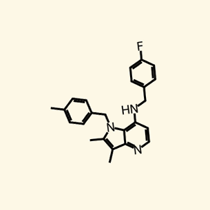 Cc1ccc(Cn2c(C)c(C)c3nccc(NCc4ccc(F)cc4)c32)cc1